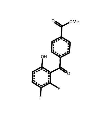 COC(=O)c1ccc(C(=O)c2c(O)ccc(F)c2F)cc1